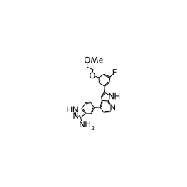 COCCOc1cc(F)cc(-c2cc3c(-c4ccc5[nH]nc(N)c5c4)ccnc3[nH]2)c1